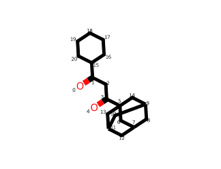 O=C(CC(=O)C12CC3CC(CC(C3)C1)C2)C1CCCCC1